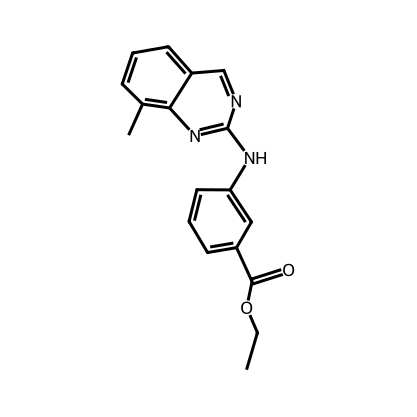 CCOC(=O)c1cccc(Nc2ncc3cccc(C)c3n2)c1